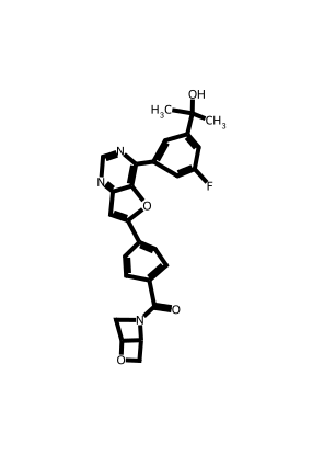 CC(C)(O)c1cc(F)cc(-c2ncnc3cc(-c4ccc(C(=O)N5CC6OCC65)cc4)oc23)c1